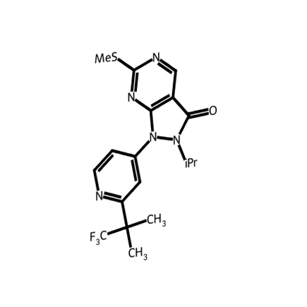 CSc1ncc2c(=O)n(C(C)C)n(-c3ccnc(C(C)(C)C(F)(F)F)c3)c2n1